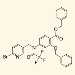 O=C(OCc1ccccc1)c1ccc(N(Cc2ccc(Br)nc2)C(=O)C(F)(F)F)cc1OCc1ccccc1